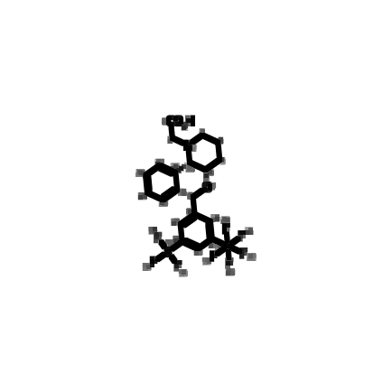 O=C(O)CN1CCC[C@H](OCc2cc(S(F)(F)F)cc(S(F)(F)(F)(F)F)c2)[C@@H]1c1ccccc1